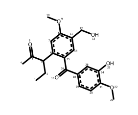 CCC(C(C)=O)c1cc(OC)c(CO)cc1C(=O)c1ccc(OC)c(O)c1